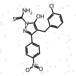 NC(=S)n1nc(-c2ccc([N+](=O)[O-])cc2)c(Cc2cccc(Cl)c2)c1O